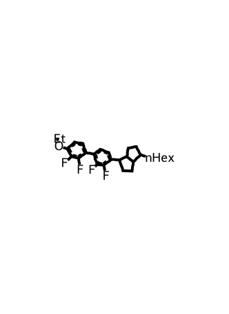 CCCCCCC1CCC2C(c3ccc(-c4ccc(OCC)c(F)c4F)c(F)c3F)CCC12